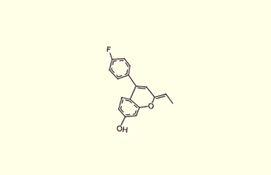 C/C=C1/C=C(c2ccc(F)cc2)c2ccc(O)cc2O1